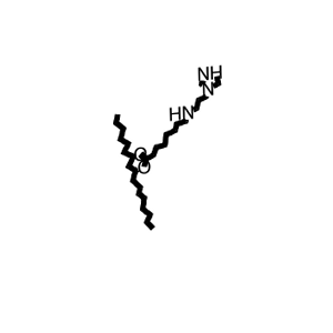 CCCCCCCCC(CCCCCCCC)OC(=O)CCCCCCCNCCCN(C=N)CC